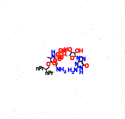 CCCC(CCC)COC(=O)C(C)NP(=O)(OCCN)OP(=O)(O)OC[C@H]1O[C@@H](n2cnc3c(=O)[nH]c(N)nc32)[C@H](O)[C@@H]1O